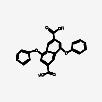 O=C(O)c1cc(Oc2ccccc2)c2cc(C(=O)O)cc(Oc3ccccc3)c2c1